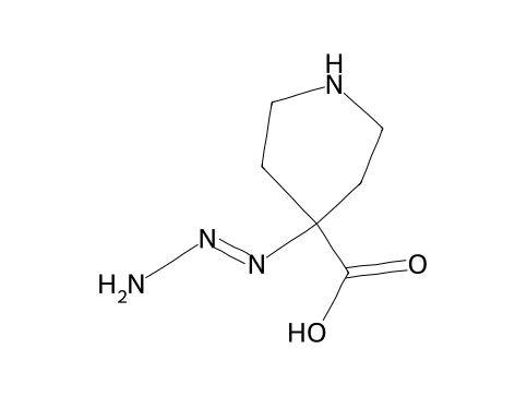 NN=NC1(C(=O)O)CCNCC1